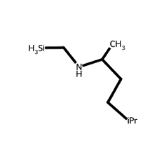 CC(C)CCC(C)NC[SiH3]